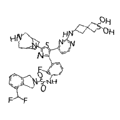 O=S(=O)(Nc1cccc(-c2nc(N3C4CCC3CNC4)sc2-c2ccnc(NC3CC4(C3)CS(O)(O)C4)n2)c1F)N1Cc2cccc(C(F)F)c2C1